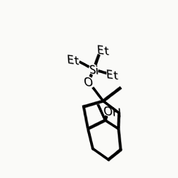 CC[Si](CC)(CC)OC1(C)CC2CCCC(C1)C2(C)O